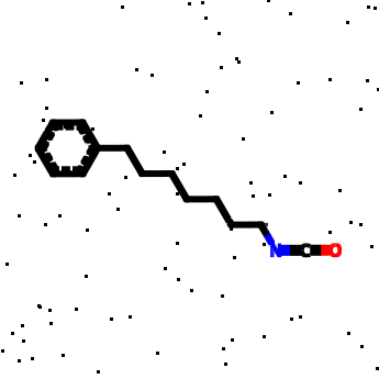 O=C=N[CH]CCCCCCc1ccccc1